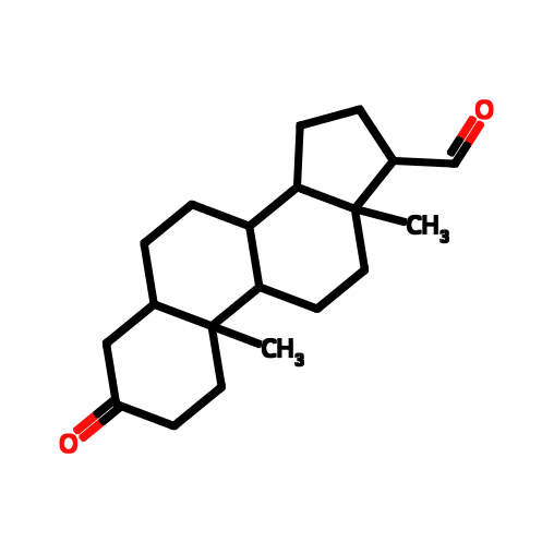 CC12CCC3C(CCC4CC(=O)CCC43C)C1CCC2C=O